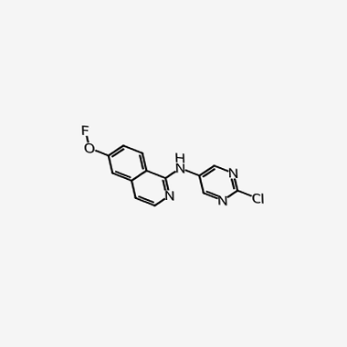 FOc1ccc2c(Nc3cnc(Cl)nc3)nccc2c1